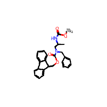 CC(CN(Cc1ccccc1)C(=O)OCC1c2ccccc2-c2ccccc21)NC(=O)OC(C)(C)C